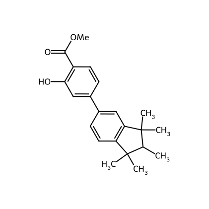 COC(=O)c1ccc(-c2ccc3c(c2)C(C)(C)C(C)C3(C)C)cc1O